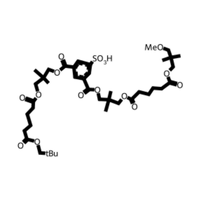 COCC(C)(C)COC(=O)CCCCC(=O)OCC(C)(C)COC(=O)c1cc(C(=O)OCC(C)(C)COC(=O)CCCCC(=O)OCC(C)(C)C)cc(S(=O)(=O)O)c1